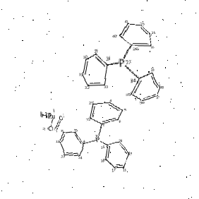 [C]=O.[Cl][RuH].c1ccc(P(c2ccccc2)c2ccccc2)cc1.c1ccc(P(c2ccccc2)c2ccccc2)cc1